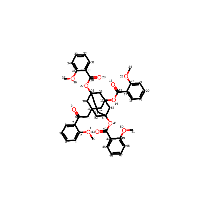 COc1ccccc1C(=O)CC12CC3(OC(=O)c4ccccc4OC)CC(OC(=O)c4ccccc4OC)(C1)CC(OC(=O)c1ccccc1OC)(C2)C3